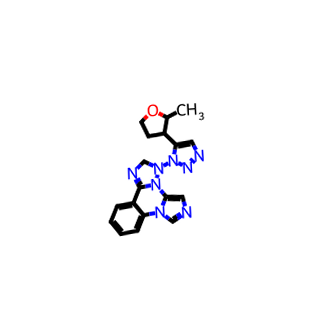 CC1OCCC1c1cnnn1N1CN=C2c3ccccc3-n3cncc3N21